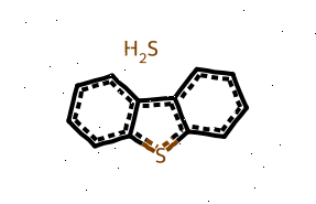 S.c1ccc2c(c1)sc1ccccc12